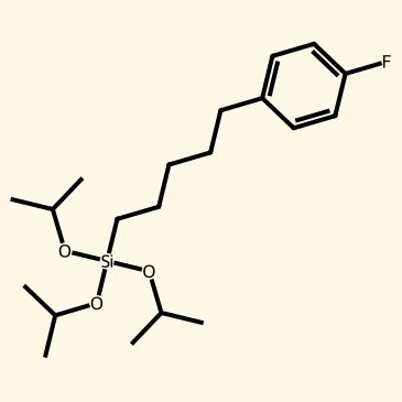 CC(C)O[Si](CCCCCc1ccc(F)cc1)(OC(C)C)OC(C)C